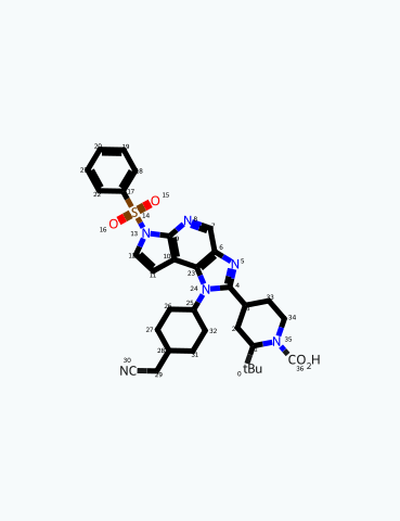 CC(C)(C)C1CC(c2nc3cnc4c(ccn4S(=O)(=O)c4ccccc4)c3n2C2CCC(CC#N)CC2)CCN1C(=O)O